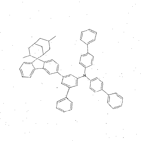 CC1CC2CC(C)C3(c4ccccc4-c4cc(-c5cc(-c6ccccc6)cc(N(c6ccc(-c7ccccc7)cc6)c6ccc(-c7ccccc7)cc6)c5)ccc43)C(C1)C2